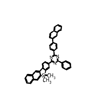 C[Si]1(C)c2cc(-c3nc(-c4ccccc4)nc(-c4ccc(-c5ccc6ccccc6c5)cc4)n3)ccc2-c2cc3ccccc3cc21